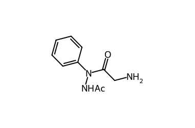 CC(=O)NN(C(=O)CN)c1ccccc1